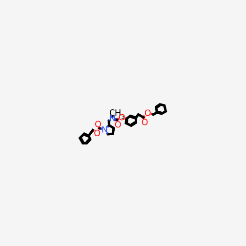 CN(CC1CCCN1C(=O)OCc1ccccc1)C(=O)Oc1cccc(CC(=O)OCC2=CCCC=C2)c1